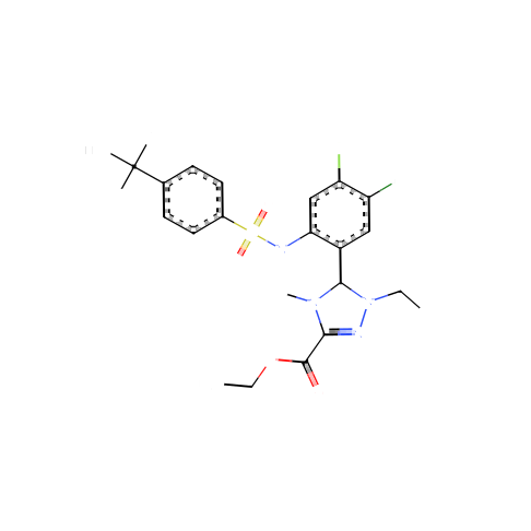 CCOC(=O)C1=NN(CC)C(c2cc(Cl)c(F)cc2NS(=O)(=O)c2ccc(C(C)(C)C)cc2)N1C